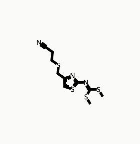 CSC(=Nc1nc(CSCCC#N)cs1)SC